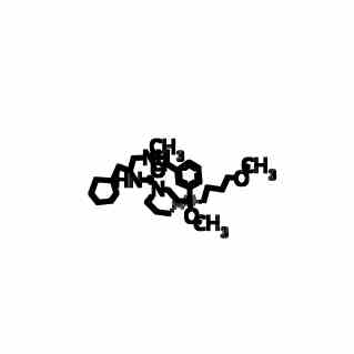 CNCC(CC1CCCCC1)NC(=O)N1CCC[C@@H]([C@](CCCCOC)(OC)c2cccc(Cl)c2)C1